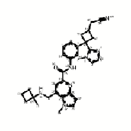 Cn1cnnc1C1(c2cccc(NC(=O)c3cc(CNC4(C)CCC4)c4c(ccn4C)n3)c2)CC(CC#N)C1